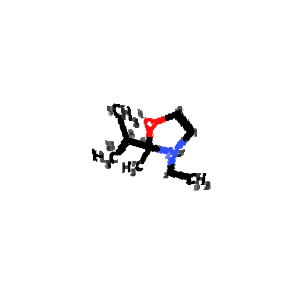 CCN1CCOC1(C)C(C)C